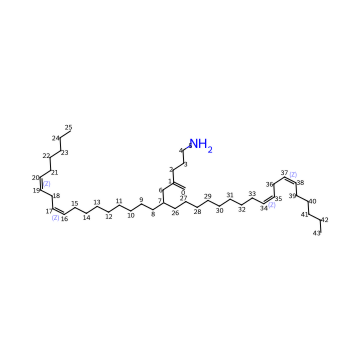 C=C(CCCN)CC(CCCCCCCC/C=C\C/C=C\CCCCC)CCCCCCCC/C=C\C/C=C\CCCCC